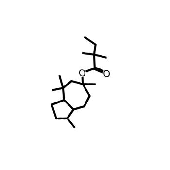 CCC(C)(C)C(=O)OC1(C)CCC2C(C)CCC2C(C)(C)C1